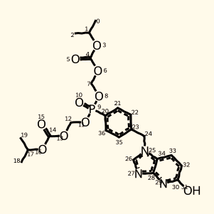 CC(C)OC(=O)OCOP(=O)(OCOC(=O)OC(C)C)c1ccc(Cn2cnc3nc(O)ccc32)cc1